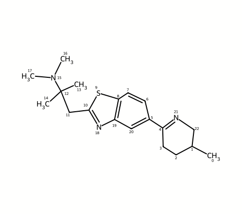 CC1CCC(c2ccc3sc(CC(C)(C)N(C)C)nc3c2)=NC1